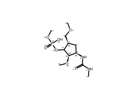 CNC(=S)N[C@@H]1C[C@H](COC)C(OP(=O)(O)OC)[C@@H]1OC